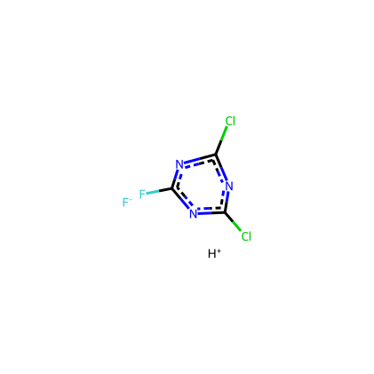 Fc1nc(Cl)nc(Cl)n1.[F-].[H+]